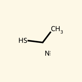 CCS.[N]